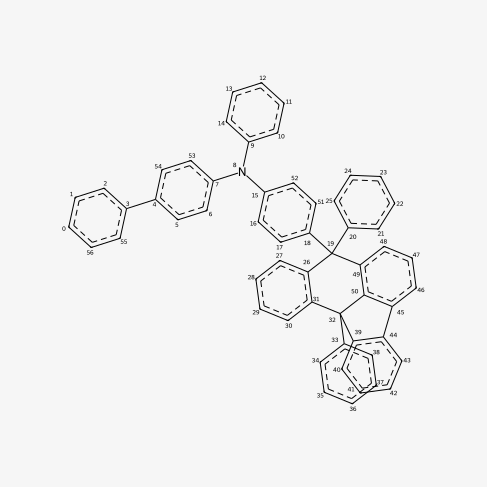 c1ccc(-c2ccc(N(c3ccccc3)c3ccc(C4(c5ccccc5)c5ccccc5C5(c6ccccc6)c6ccccc6-c6cccc4c65)cc3)cc2)cc1